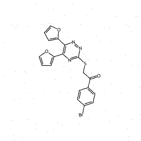 O=C(CSc1nnc(-c2ccco2)c(-c2ccco2)n1)c1ccc(Br)cc1